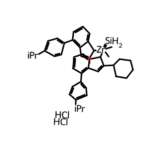 CC1=Cc2c(-c3ccc(C(C)C)cc3)cccc2[CH]1[Zr]([CH3])([CH3])(=[SiH2])[CH]1C(C2CCCCC2)=Cc2c(-c3ccc(C(C)C)cc3)cccc21.Cl.Cl